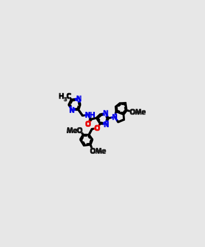 COc1ccc(OC)c(COc2nc(N3CCc4c(OC)cccc43)ncc2C(=O)NCc2cnc(C)cn2)c1